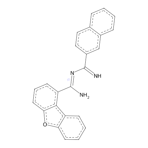 N=C(/N=C(\N)c1cccc2oc3ccccc3c12)c1ccc2ccccc2c1